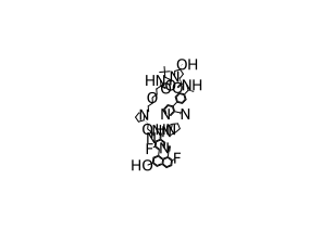 C#Cc1c(F)ccc2cc(O)cc(-c3ncc4c(N5CC6CCC(C5)N6)nc(OC[C@@H]5CCCN5CCCOCCC(=O)N[C@H](C(=O)N5C[C@H](O)C[C@H]5C(=O)N[C@@H](C)c5ccc(-c6ccncc6C#N)cc5)C(C)(C)C)nc4c3F)c12